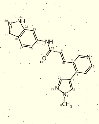 Cn1cc(-c2ccncc2C=CC(=O)Nc2ccc3cn[nH]c3c2)cn1